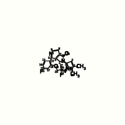 Cc1cc(N2Cc3c(ccnc3-c3ccc(F)cc3OCC(F)(F)F)C2=O)nn1C